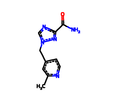 Cc1cc(Cn2cnc(C(N)=O)n2)ccn1